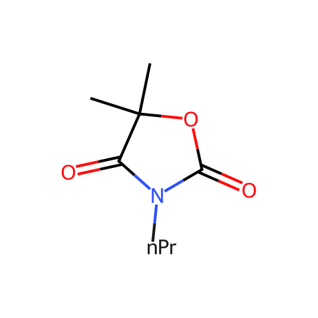 [CH2]CCN1C(=O)OC(C)(C)C1=O